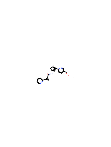 COCc1ccc([C@@H]2C[C@]3(NC(=O)C4CC4c4ccccn4)C[C@@H]2C3)nc1